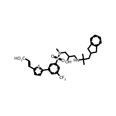 CN(CC(O)CNC(C)(C)CC1Cc2ccccc2C1)S(=O)(=O)c1cc(-c2ccc(C=CC(=O)O)s2)cc(C(F)(F)F)c1